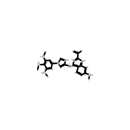 C=C(C)c1nc(Nc2cn(-c3cc(OC)c(OC)c(OC)c3)cn2)c2ccc(OC)cc2n1